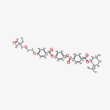 CCC1(COCCOc2ccc(C(=O)Oc3ccc(OC(=O)c4ccc(C(=O)OC5CC(C)CCC5C(C)C)cc4)cc3)cc2)COC1